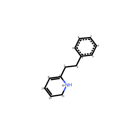 [C]1=C(CCc2ccccc2)NCC=C1